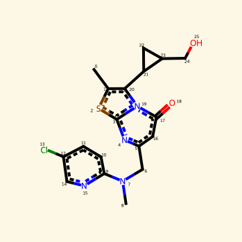 Cc1sc2nc(CN(C)c3ccc(Cl)cn3)cc(=O)n2c1C1CC1CO